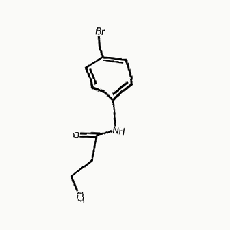 O=C(CCCl)Nc1ccc(Br)cc1